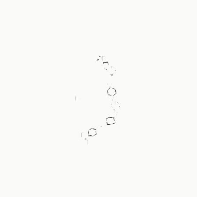 COc1cc(OCc2ccc(C(F)(F)F)cc2)ccc1CN1CCN(c2ccc(OC[C@H]3CCn4cc([N+](=O)[O-])nc4O3)cc2)CC1.Cl